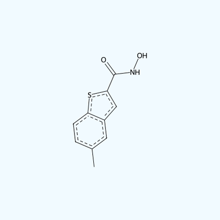 Cc1ccc2sc(C(=O)NO)cc2c1